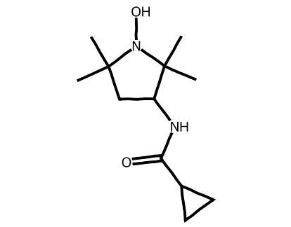 CC1(C)CC(NC(=O)C2CC2)C(C)(C)N1O